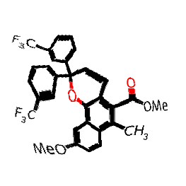 COC(=O)c1c2c(c3cc(OC)ccc3c1C)OC(c1cccc(C(F)(F)F)c1)(c1cccc(C(F)(F)F)c1)C=C2